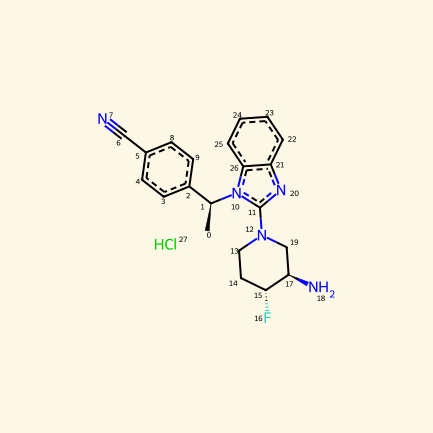 C[C@@H](c1ccc(C#N)cc1)n1c(N2CC[C@@H](F)[C@H](N)C2)nc2ccccc21.Cl